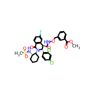 COC(=O)c1cccc(CONC(=O)[C@@H]2c3cc(F)ccc3C(=O)N([C@H]3CCCC[C@@H]3NS(C)(=O)=O)[C@H]2c2ccc(Cl)cc2Cl)c1